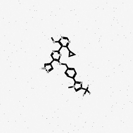 COc1ncnc(C2CC2)c1-c1ncc(-c2cn[nH]c2)c(OCc2ccc(-c3nc(C(F)(F)F)cn3C)cc2)n1